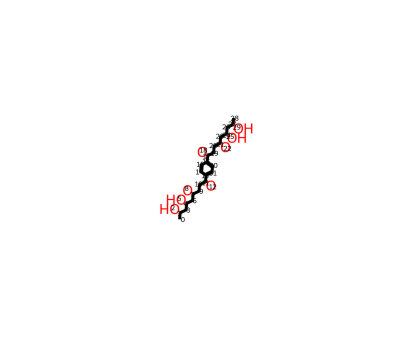 CC(O)CC(O)CC(=O)CCC(=O)c1ccc(C(=O)CCC(=O)CC(O)CC(C)O)cc1